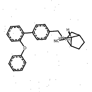 N#CN1CC2CCC1[C@@H]2NCc1ccc(-c2ccccc2Oc2ccccc2)cc1